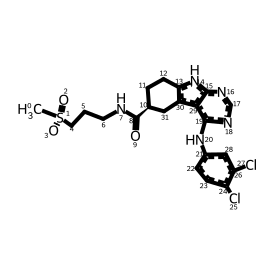 CS(=O)(=O)CCCNC(=O)[C@H]1CCc2[nH]c3ncnc(Nc4ccc(Cl)c(Cl)c4)c3c2C1